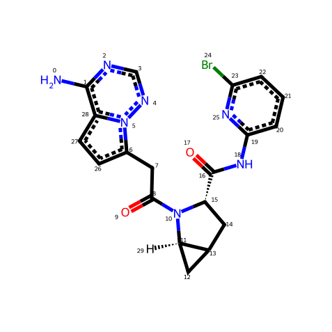 Nc1ncnn2c(CC(=O)N3[C@@H]4CC4C[C@H]3C(=O)Nc3cccc(Br)n3)ccc12